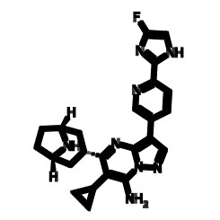 Nc1c(C2CC2)c([C@H]2C[C@H]3CC[C@@H](C2)N3)nc2c(-c3ccc(-c4nc(F)c[nH]4)nc3)cnn12